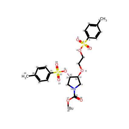 Cc1ccc(S(=O)(=O)OCCO[C@H]2CN(C(=O)OC(C)(C)C)C[C@@H]2OS(=O)(=O)c2ccc(C)cc2)cc1